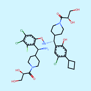 N[C@H](c1c(ON[C@@H](c2cc(Cl)c(C3CCC3)cc2O)C2CCN(C(=O)[C@H](O)CO)CC2)cc(Cl)c(Cl)c1F)C1CCN(C(=O)[C@H](O)CO)CC1